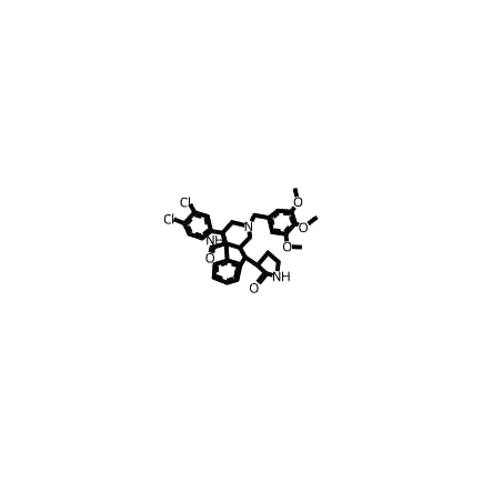 CCC(C1CCNC1=O)C1CN(Cc2cc(OC)c(OC)c(OC)c2)CC(c2ccc(Cl)c(Cl)c2)C1(C(N)=O)c1ccccc1